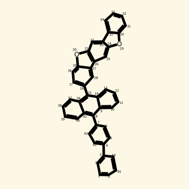 c1ccc(-c2ccc(-c3c4ccccc4c(-c4ccc5oc6cc7c(cc6c5c4)oc4ccccc47)c4ccccc34)cc2)cc1